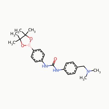 CN(C)Cc1ccc(NC(=O)Nc2ccc(B3OC(C)(C)C(C)(C)O3)cc2)cc1